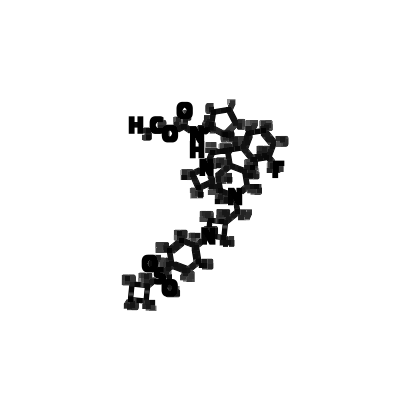 COC(=O)N[C@H]1CCC[C@@H]1C(CN1CCC1)(c1cccc(F)c1)C1CCN(CC2CN(c3ccc(S(=O)(=O)C4CCC4)cc3)C2)CC1